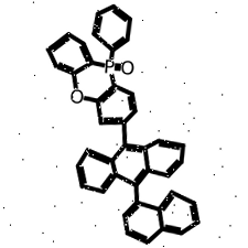 O=P1(c2ccccc2)c2ccccc2Oc2cc(-c3c4ccccc4c(-c4cccc5ccccc45)c4ccccc34)ccc21